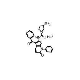 Cl.N[C@H]1CCN(C(=O)Nc2sc3c(ccc(=O)n3-c3ccccc3)c2C(=O)c2ccccc2)C1